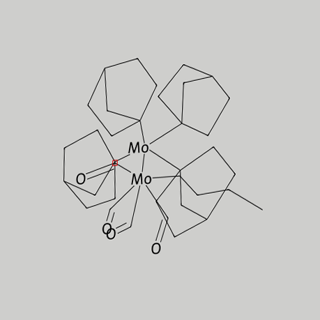 CCC[CH2][Mo]([CH]=O)([CH]=O)([CH]=O)([CH]=O)[Mo]([C]12CCC(CC1)C2)([C]12CCC(CC1)C2)([C]12CCC(CC1)C2)[C]12CCC(CC1)C2